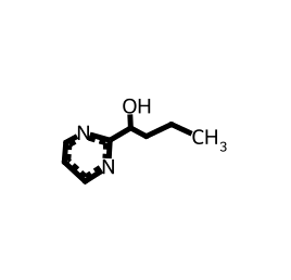 CCCC(O)c1ncccn1